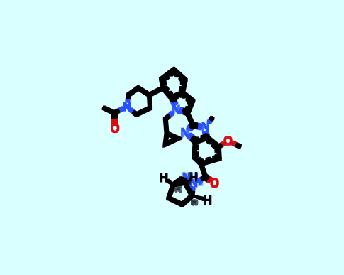 COc1cc(C(=O)N2C[C@H]3CC[C@@H]2[C@@H]3N)cc2nc(-c3cc4cccc(C5CCN(C(C)=O)CC5)c4n3CC3CC3)n(C)c12